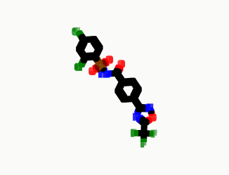 O=C(NS(=O)(=O)c1ccc(Cl)cc1Cl)c1ccc(-c2noc(C(F)(F)F)n2)cc1